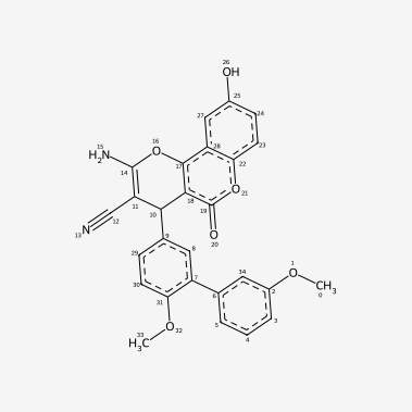 COc1cccc(-c2cc(C3C(C#N)=C(N)Oc4c3c(=O)oc3ccc(O)cc43)ccc2OC)c1